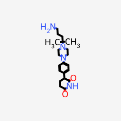 CC(C)(CCCN)N1CCN(c2ccc(C3CCC(=O)NC3=O)cc2)CC1